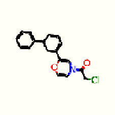 O=C(CCl)N1C=COC(C2=CC=CC(c3ccccc3)C2)=C1